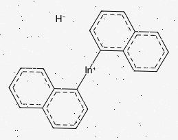 [H-].c1ccc2[c]([In+][c]3cccc4ccccc34)cccc2c1